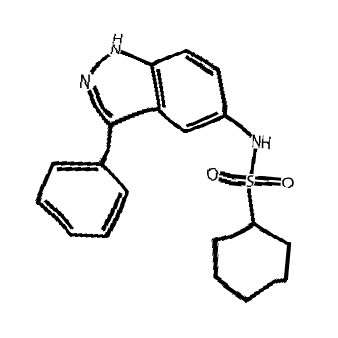 O=S(=O)(Nc1ccc2[nH]nc(-c3ccccc3)c2c1)C1CCCCC1